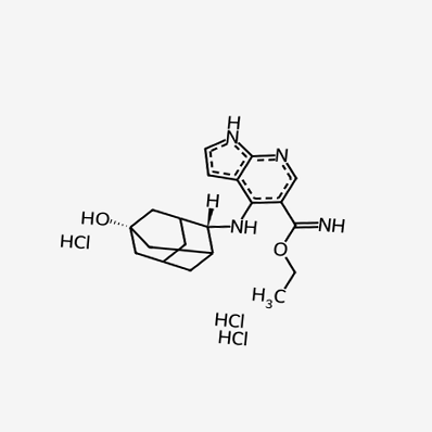 CCOC(=N)c1cnc2[nH]ccc2c1N[C@H]1C2CC3CC1C[C@@](O)(C3)C2.Cl.Cl.Cl